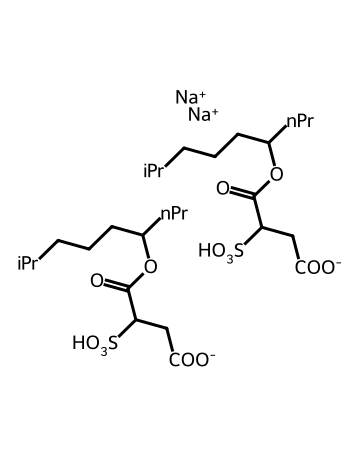 CCCC(CCCC(C)C)OC(=O)C(CC(=O)[O-])S(=O)(=O)O.CCCC(CCCC(C)C)OC(=O)C(CC(=O)[O-])S(=O)(=O)O.[Na+].[Na+]